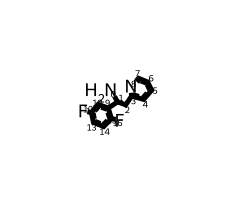 NC(Cc1ccccn1)c1cc(F)ccc1F